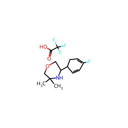 CC1(C)COCC(C2C=CC(F)=CC2)N1.O=C(O)C(F)(F)F